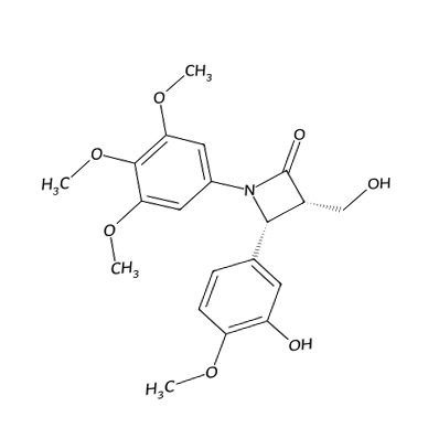 COc1ccc([C@H]2[C@@H](CO)C(=O)N2c2cc(OC)c(OC)c(OC)c2)cc1O